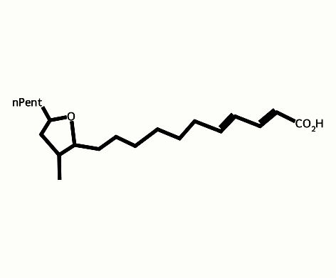 CCCCCC1CC(C)C(CCCCCCC=CC=CC(=O)O)O1